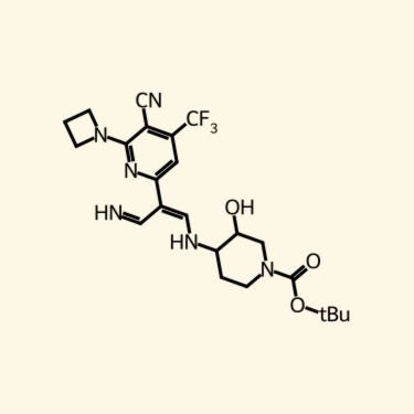 CC(C)(C)OC(=O)N1CCC(N/C=C(\C=N)c2cc(C(F)(F)F)c(C#N)c(N3CCC3)n2)C(O)C1